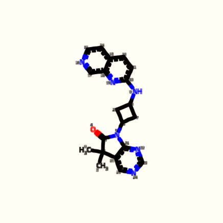 CC1(C)C(=O)N(C2CC(Nc3ccc4ccncc4n3)C2)c2ncncc21